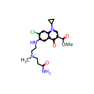 COC(=O)c1cn(C2CC2)c2cc(Cl)c(NCCN(C)CCC(N)=O)cc2c1=O